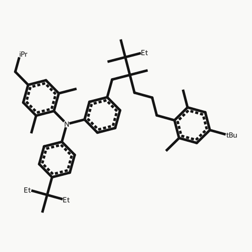 CCC(C)(CC)c1ccc(N(c2cccc(CC(C)(CCCc3c(C)cc(C(C)(C)C)cc3C)C(C)(C)CC)c2)c2c(C)cc(CC(C)C)cc2C)cc1